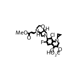 COC(=O)C=CN1CCO[C@H]2CN(c3c(F)cc4c(=O)c(OC(=O)O)cn(C5CC5)c4c3Cl)C[C@H]21